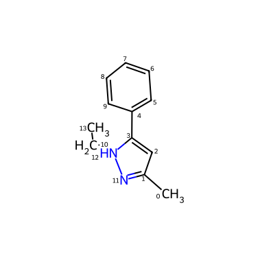 Cc1cc(-c2ccccc2)[nH]n1.[CH2]C